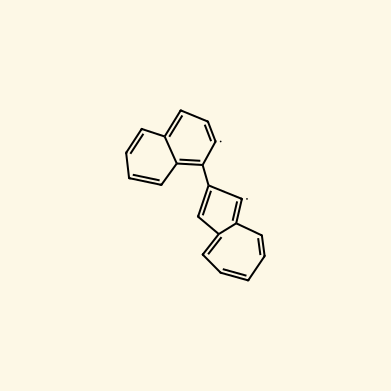 [c]1c2cccccc-2cc1-c1[c]ccc2ccccc12